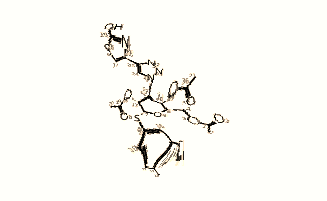 CC(=O)OC[C@H]1O[C@H](Sc2ccc(C)c(Cl)c2)[C@H](OC(C)=O)[C@@H](n2cc(-c3csc(O)n3)nn2)[C@H]1OC(C)=O